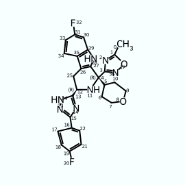 Cc1nc([C@]2(C3CCOCC3)N[C@@H](c3nc(-c4ccc(F)cc4)n[nH]3)Cc3c2[nH]c2cc(F)ccc32)no1